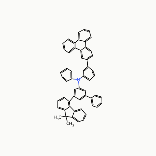 CC1(C)c2ccccc2-c2c(-c3cc(-c4ccccc4)cc(N(c4ccccc4)c4cccc(-c5ccc6c7ccccc7c7ccccc7c6c5)c4)c3)cccc21